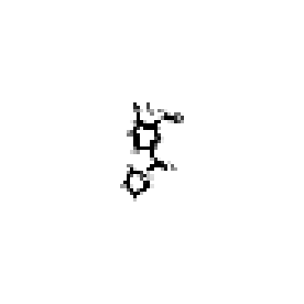 CCOc1cc(C(=O)N2CCCC2)ccc1N